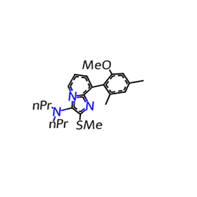 CCCN(CCC)c1c(SC)nc2c(-c3c(C)cc(C)cc3OC)cccn12